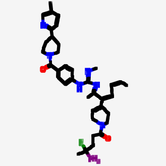 C\C=C/C=C(C1=CCN(C(=O)CCC(C)(F)P)CC1)\C(C)=N\C(=N/C)Nc1ccc(C(=O)N2CCC(c3ccc(C)cn3)CC2)cc1